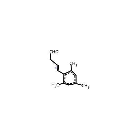 Cc1cc(C)c(/C=C/C[C]=O)c(C)c1